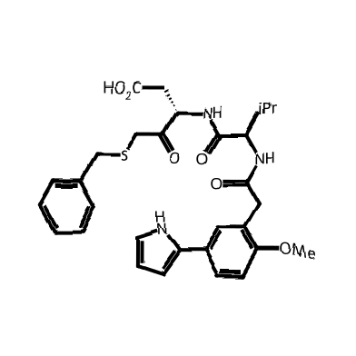 COc1ccc(-c2ccc[nH]2)cc1CC(=O)NC(C(=O)N[C@@H](CC(=O)O)C(=O)CSCc1ccccc1)C(C)C